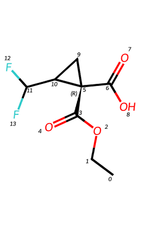 CCOC(=O)[C@]1(C(=O)O)CC1C(F)F